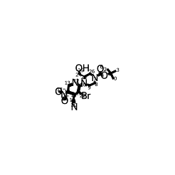 CC(C)(C)OC(=O)N1CCN(c2ncc([N+](=O)[O-])c(C#N)c2Br)[C@@H](CO)C1